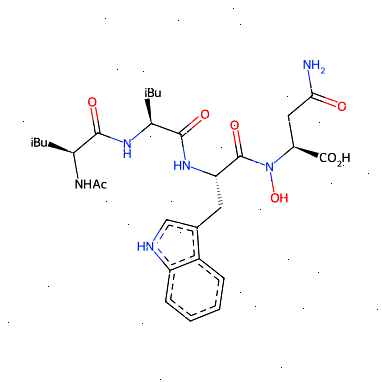 CCC(C)[C@H](NC(C)=O)C(=O)N[C@H](C(=O)N[C@@H](Cc1c[nH]c2ccccc12)C(=O)N(O)[C@@H](CC(N)=O)C(=O)O)C(C)CC